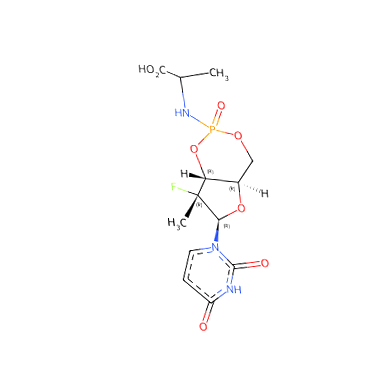 CC(NP1(=O)OC[C@H]2O[C@@H](n3ccc(=O)[nH]c3=O)[C@](C)(F)[C@@H]2O1)C(=O)O